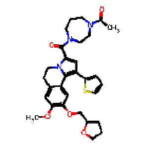 COc1cc2c(cc1OCC1CCCO1)-c1c(-c3cccs3)cc(C(=O)N3CCCN(C(C)=O)CC3)n1CC2